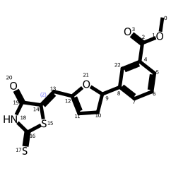 COC(=O)c1cccc(C2CC=C(/C=C3\SC(=S)NC3=O)O2)c1